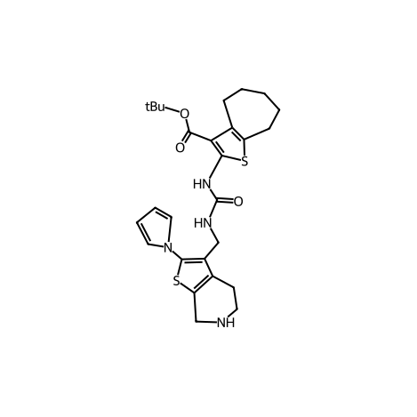 CC(C)(C)OC(=O)c1c(NC(=O)NCc2c(-n3cccc3)sc3c2CCNC3)sc2c1CCCCC2